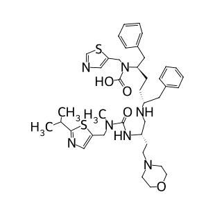 CC(C)c1ncc(CN(C)C(=O)N[C@@H](CCN2CCOCC2)CN[C@H](CC[C@H](Cc2ccccc2)N(Cc2cncs2)C(=O)O)Cc2ccccc2)s1